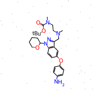 CN(CCN(C)C(=O)OC(C)(C)C)Cc1nn(C2CCCCO2)c2ccc(Oc3ccc(N)cc3)cc12